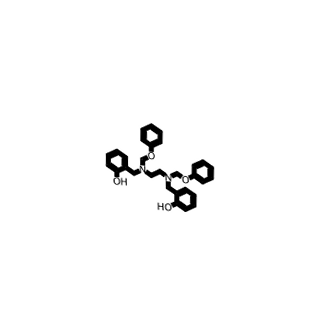 Oc1ccccc1CN(CCN(COc1ccccc1)Cc1ccccc1O)COc1ccccc1